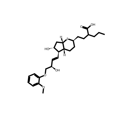 CCCC(CC[C@H]1CC[C@@H]2[C@@H](/C=C/[C@@H](O)COc3ccccc3OC)[C@H](O)C[C@@H]2S1)C(=O)O